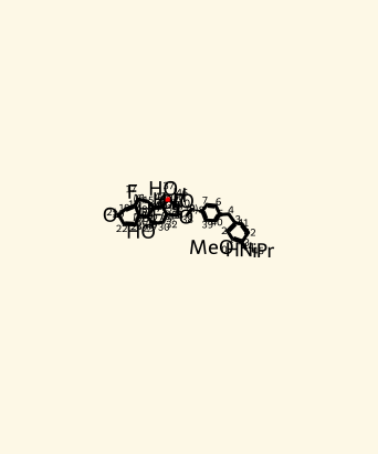 COc1cc(Cc2ccc([C@@H]3O[C@@H]4C[C@H]5[C@@H]6C[C@H](F)C7=CC(=O)C=C[C@]7(C)[C@@]6(F)[C@@H](O)C[C@]5(C)[C@]4(C(=O)CO)O3)cc2)ccc1NC(C)C